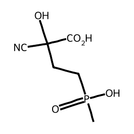 CP(=O)(O)CCC(O)(C#N)C(=O)O